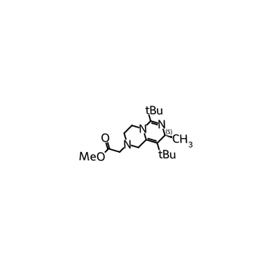 COC(=O)CN1CCN2C(C(C)(C)C)=N[C@@H](C)C(C(C)(C)C)=C2C1